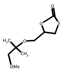 COCC(C)(C)OCC1CSC(=O)O1